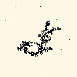 CCNC(=O)c1nnc(-c2cc(C(C)C)c(O)cc2O)n1-c1ccc2c(ccn2CCC2CCN(C(=O)CCNC(=O)[C@@H](CCC(=O)OC(C)(C)C)NC(=O)[C@@H](CCC(=O)OC(C)(C)C)NC(=O)[C@@H](CCC(=O)OC(C)(C)C)NC(=O)COCCOCCNC(=O)[C@H](CCCCNC(=O)OC(C)(C)C)NC(=O)CCCc3ccc(I)cc3)CC2)c1